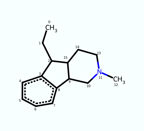 CCC1c2ccccc2C2CN(C)CCC12